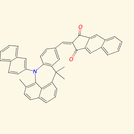 Cc1ccc2cccc3c2c1N(c1ccc2ccccc2c1)c1ccc(C=C2C(=O)c4cc5ccccc5cc4C2=O)cc1C3(C)C